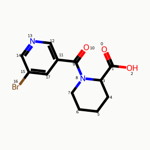 O=C(O)C1CCCCN1C(=O)c1cncc(Br)c1